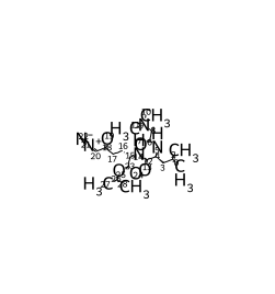 CC(C)C[C@H](NC(=O)CN(C)C)C(=O)N[C@@H](CCC(=O)C=[N+]=[N-])C(=O)OC(C)C